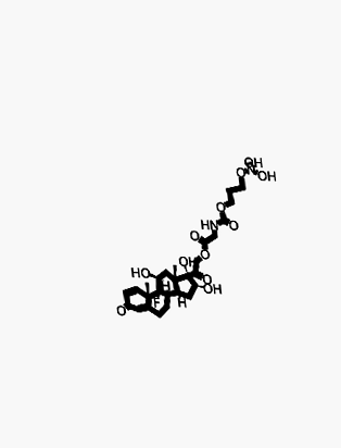 C[C@]12C=CC(=O)C=C1CC[C@H]1[C@@H]3C[C@@H](O)[C@](O)(C(=O)COC(=O)CNC(=O)OCCCON(O)O)[C@@]3(C)C[C@H](O)[C@@]12F